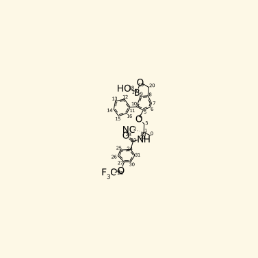 C[C@](C#N)(COc1ccc2c(c1-c1ccccc1)B(O)OC2)NC(=O)c1ccc(OC(F)(F)F)cc1